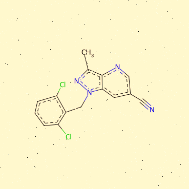 Cc1nn(Cc2c(Cl)cccc2Cl)c2cc(C#N)cnc12